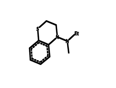 CCN(C)N1CCSc2ccccc21